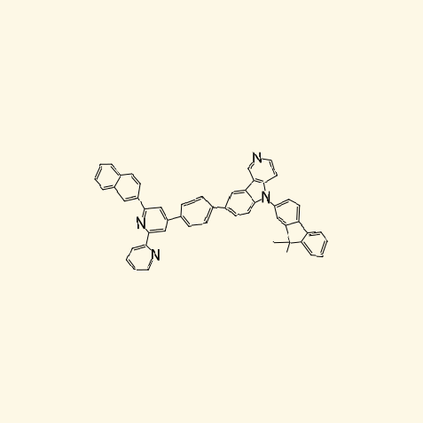 CC1(C)c2ccccc2-c2ccc(-n3c4ccncc4c4cc(-c5ccc(-c6cc(-c7ccc8ccccc8c7)nc(-c7ccccn7)c6)cc5)ccc43)cc21